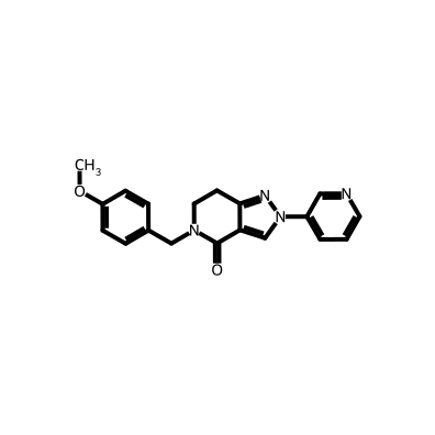 COc1ccc(CN2CCc3nn(-c4cccnc4)cc3C2=O)cc1